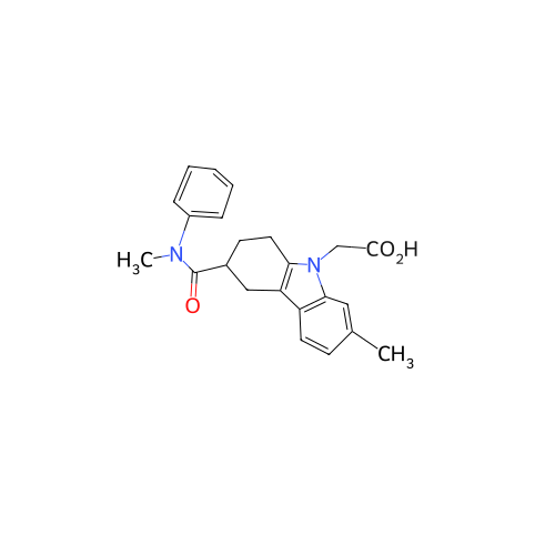 Cc1ccc2c3c(n(CC(=O)O)c2c1)CCC(C(=O)N(C)c1ccccc1)C3